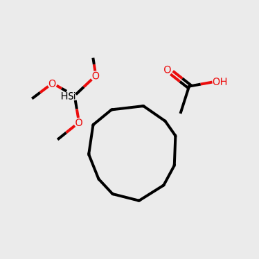 C1CCCCCCCCCC1.CC(=O)O.CO[SiH](OC)OC